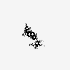 C[C@]12CC[C@H](O[C@@H]3O[C@@H](CO)[C@H](O)[C@@H](N)[C@H]3O)C[C@H]1CC[C@@H]1[C@@H]2CC[C@]2(C)[C@@H]3CC[C@]12O[C@H]1OC(=O)C[C@H]13